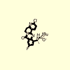 C[C@@H](N[S@+]([O-])C(C)(C)C)c1cc(F)cc2c(=O)n3c(nc12)-c1ccc(Cl)nc1CC3